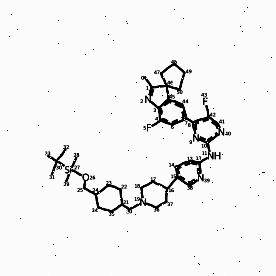 CC1=Nc2c(F)cc(-c3nc(Nc4ccc(C5CCN(CC6CCC(CO[Si](C)(C)C(C)(C)C)CC6)CC5)cn4)ncc3F)cc2C12CCCC2